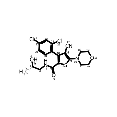 C[C@H](O)CNC(=O)c1sc(N2CCOCC2)c(C#N)c1-c1ccc(Cl)cc1Cl